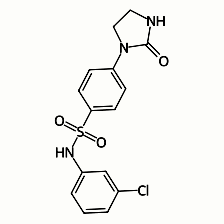 O=C1NCCN1c1ccc(S(=O)(=O)Nc2cccc(Cl)c2)cc1